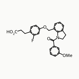 COc1cccc(C(=O)N2CCc3cccc(COc4ccc(CCC(=O)O)c(F)c4)c32)c1